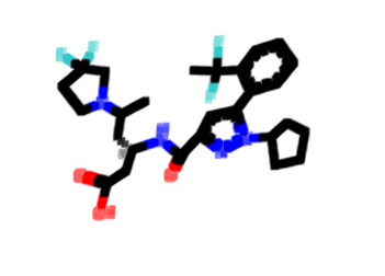 CC(C[C@@H](CC(=O)O)NC(=O)c1cc(-c2ccccc2C(C)(F)F)n(C2CCCC2)n1)N1CCC(F)(F)C1